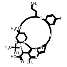 CCCC1CCCOC2(C)CCN(CC2)c2c([C@H](OC(C)(C)C)C(=O)O)c(C)nc3cc(nn23)COCc2cc(F)ccc2O1